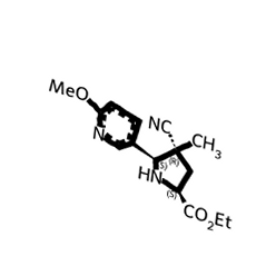 CCOC(=O)[C@@H]1C[C@@](C)(C#N)[C@H](c2ccc(OC)nc2)N1